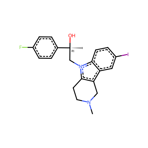 CN1CCc2c(c3cc(I)ccc3n2C[C@](C)(O)c2ccc(F)cc2)C1